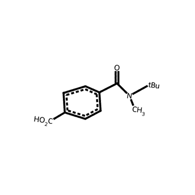 CN(C(=O)c1ccc(C(=O)O)cc1)C(C)(C)C